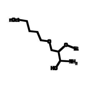 CCCCCCCCCCCCOCC(OCC)C(N)O